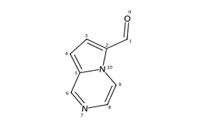 O=Cc1ccc2cnccn12